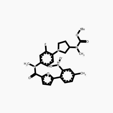 Cc1ccc(-c2ccc(C(=O)N(C)c3ccc(N4CCC(N(C)C(=O)OC(C)(C)C)C4)c(F)c3)o2)c([NH+]([O-])O)c1